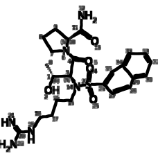 C[C@@H](O)[C@@H](C(=O)N1CCC[C@H]1C(N)=O)N(CCCCNC(=N)N)S(=O)(=O)c1ccc2ccccc2c1